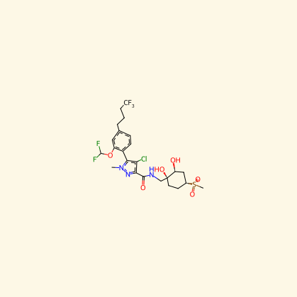 Cn1nc(C(=O)NC[C@@]2(O)CC[C@H](S(C)(=O)=O)C[C@@H]2O)c(Cl)c1-c1ccc(CCCC(F)(F)F)cc1OC(F)F